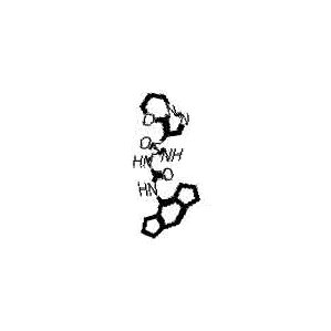 N=[S@@](=O)(NC(=O)Nc1c2c(cc3c1CCC3)CCC2)c1cnn2c1OCCC2